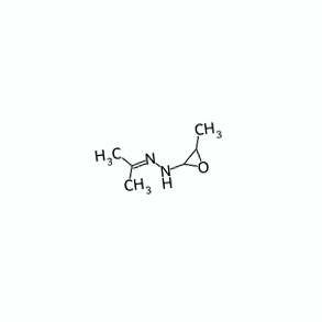 CC(C)=NNC1OC1C